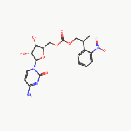 CC(COC(=O)OC[C@H]1O[C@@H](n2ccc(N)nc2=O)[C@H](O)[C@@H]1O)c1ccccc1[N+](=O)[O-]